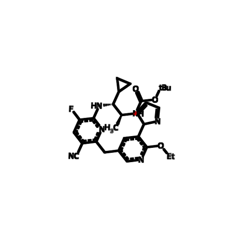 CCOc1ncc(Cc2nc(N[C@H](C3CC3)[C@H](C)NC(=O)OC(C)(C)C)c(F)cc2C#N)cc1C1C=CC=N1